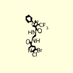 O=C(NCCNC(=O)c1cn(-c2ccccc2)nc1C(F)(F)F)c1cnc(Cl)c(Br)c1